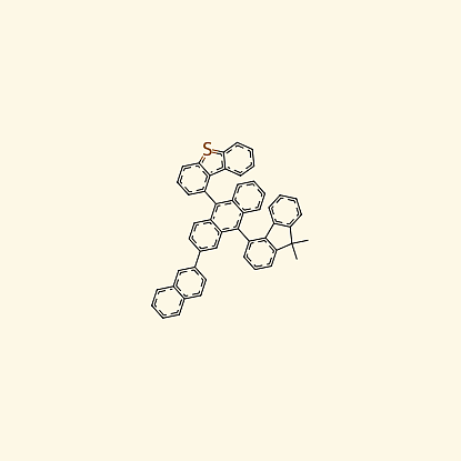 CC1(C)c2ccccc2-c2c(-c3c4ccccc4c(-c4cccc5sc6ccccc6c45)c4ccc(-c5ccc6ccccc6c5)cc34)cccc21